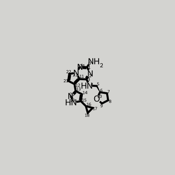 Nc1nc(NC[C@H]2CCCO2)c2c(-c3cc(C4CC4)[nH]n3)ccn2n1